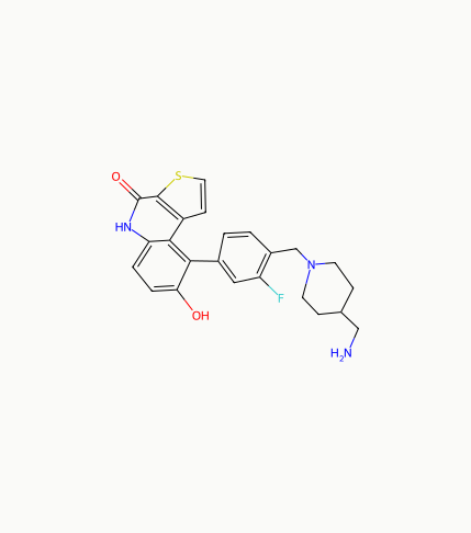 NCC1CCN(Cc2ccc(-c3c(O)ccc4[nH]c(=O)c5sccc5c34)cc2F)CC1